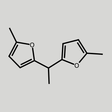 Cc1ccc(C(C)c2ccc(C)o2)o1